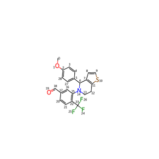 COc1ccc(C2c3ccsc3CCN2c2cc(C=O)ccc2C(F)(F)F)cc1